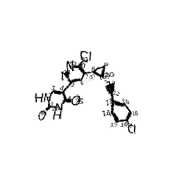 O=c1[nH]cc(-c2cc([C@H]3C[C@@H]3C#Cc3ccc(Cl)cc3)c(Cl)nn2)c(=O)[nH]1